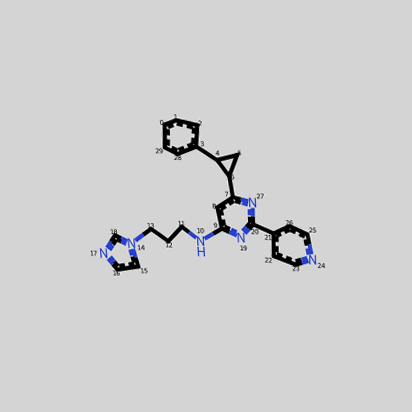 c1ccc(C2CC2c2cc(NCCCn3ccnc3)nc(-c3ccncc3)n2)cc1